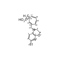 CCc1ccc2c(n1)OCCN2CC1=CC(C)(C(=O)O)C=CC=C1